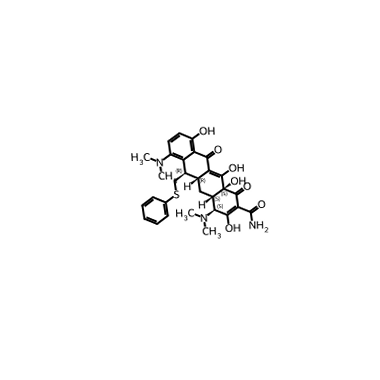 CN(C)c1ccc(O)c2c1[C@H](CSc1ccccc1)[C@H]1C[C@H]3[C@H](N(C)C)C(O)=C(C(N)=O)C(=O)[C@@]3(O)C(O)=C1C2=O